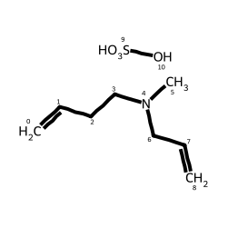 C=CCCN(C)CC=C.O=S(=O)(O)O